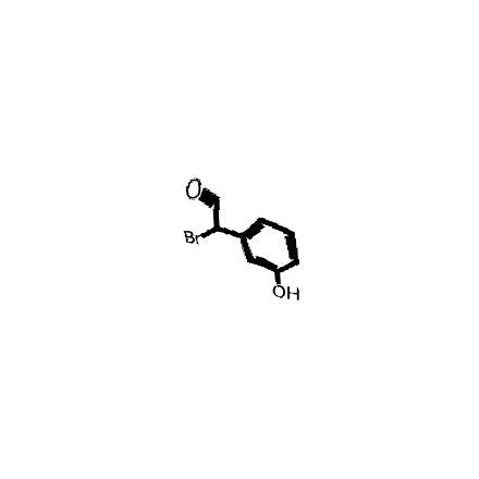 O=CC(Br)c1cccc(O)c1